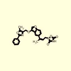 C/C(=C/Cn1oc(=O)[nH]c1=O)c1ccc2occ(OCc3nc(-c4ccccc4)oc3C)c2c1